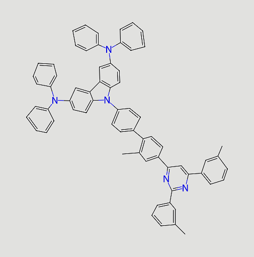 Cc1cccc(-c2cc(-c3ccc(-c4ccc(-n5c6ccc(N(c7ccccc7)c7ccccc7)cc6c6cc(N(c7ccccc7)c7ccccc7)ccc65)cc4)c(C)c3)nc(-c3cccc(C)c3)n2)c1